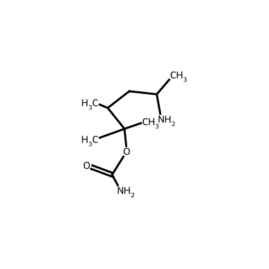 CC(N)CC(C)C(C)(C)OC(N)=O